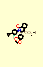 O=C(O)[C@@H]1c2ccccc2C(=O)N(c2ccc(C3CC3)c(F)c2)[C@H]1c1ccc2c(c1)OCCO2